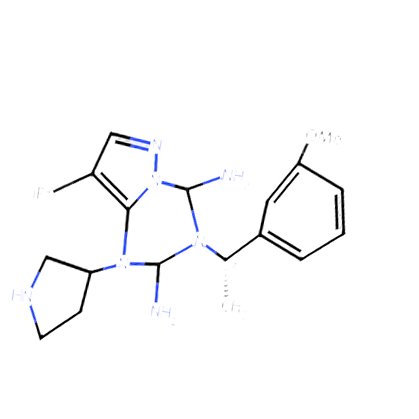 COc1cccc([C@H](C)N2C(N)N(C3CCNC3)c3c(C(C)C)cnn3C2N)c1